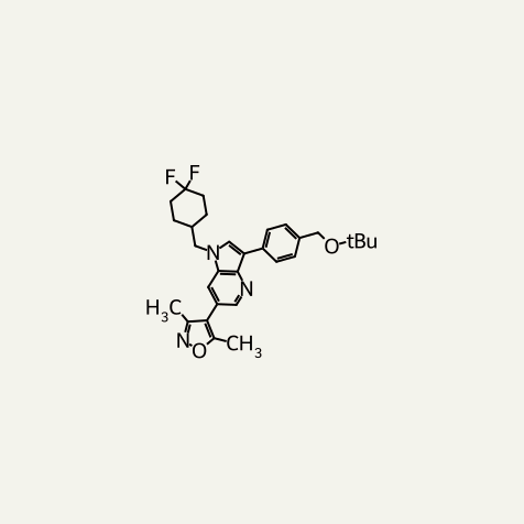 Cc1noc(C)c1-c1cnc2c(-c3ccc(COC(C)(C)C)cc3)cn(CC3CCC(F)(F)CC3)c2c1